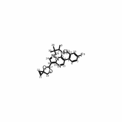 CC(Nc1c(-c2ccc(F)cc2Cl)cnc2c(C3OCC4(C=C4)O3)cnn12)C(C)(C)C